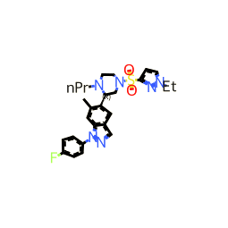 CCCN1CCN(S(=O)(=O)c2ccn(CC)n2)C[C@H]1c1cc2cnn(-c3ccc(F)cc3)c2cc1C